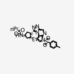 CCCS(=O)(=O)N[C@H]1C[C@@H](CC)[C@@H](c2nnc3cnc4c(ccn4S(=O)(=O)c4ccc(C)cc4)n23)C1